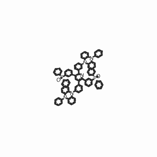 O=P(c1ccccc1)(c1ccccc1)c1cccc(-c2cc(-c3cccc(N4c5ccccc5N(c5ccccc5)c5ccccc54)c3)c(-c3cccc(P(=O)(c4ccccc4)c4ccccc4)c3)nc2-c2cccc(N3c4ccccc4N(c4ccccc4)c4ccccc43)c2)c1